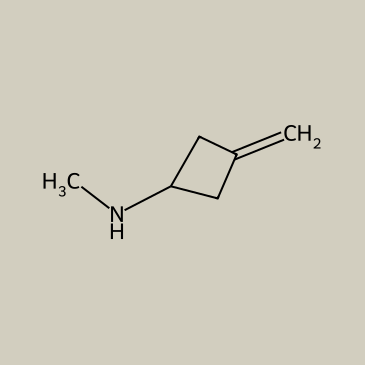 C=C1CC(NC)C1